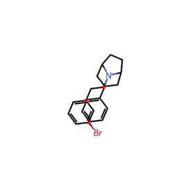 Brc1cccc(CCN2C3CCC2CC(c2ccccc2)C3)c1